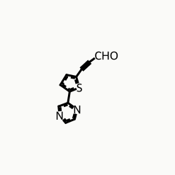 O=CC#Cc1ccc(-c2cnccn2)s1